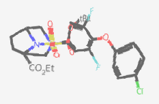 CCOC(=O)C12CCC(CN(C(=O)OC(C)(C)C)C1)N2S(=O)(=O)c1cc(F)c(Oc2ccc(Cl)cc2)c(F)c1